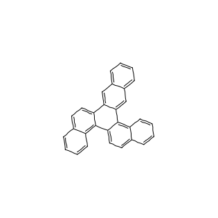 c1ccc2cc3c(cc2c1)c1ccc2ccccc2c1c1ccc2ccccc2c31